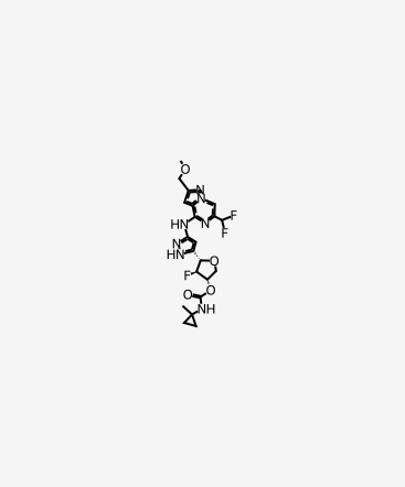 COCc1cc2c(Nc3cc([C@@H]4OC[C@H](OC(=O)NC5(C)CC5)[C@H]4F)[nH]n3)nc(C(F)F)cn2n1